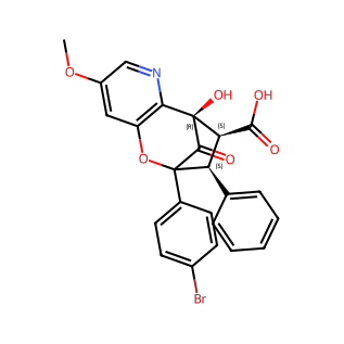 COc1cnc2c(c1)OC1(c3ccc(Br)cc3)C(=O)[C@@]2(O)[C@@H](C(=O)O)[C@H]1c1ccccc1